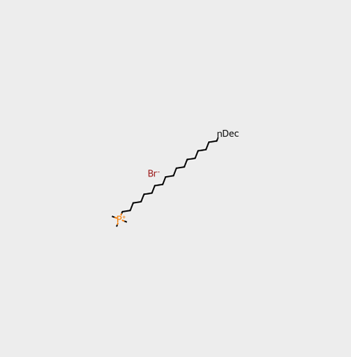 CCCCCCCCCCCCCCCCCCCCCCCCCCCC[P+](C)(C)C.[Br-]